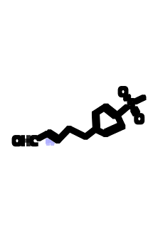 CS(=O)(=O)c1ccc(CC/C=C/C=O)cc1